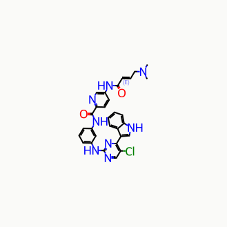 CN(C)C/C=C/C(=O)Nc1ccc(C(=O)Nc2cccc(Nc3ncc(Cl)c(-c4c[nH]c5ccccc45)n3)c2)nc1